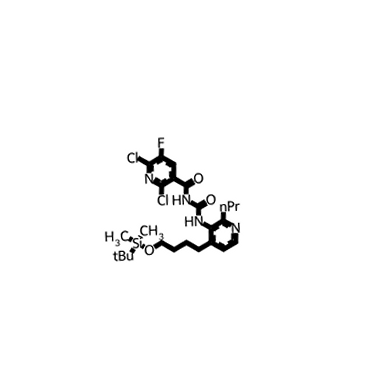 CCCc1nccc(CCCCO[Si](C)(C)C(C)(C)C)c1NC(=O)NC(=O)c1cc(F)c(Cl)nc1Cl